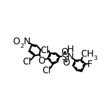 Cc1c(F)cccc1NS(=O)(=O)c1cc(Cl)c(OC2CC=C([N+](=O)[O-])C=C2Cl)c(Cl)c1